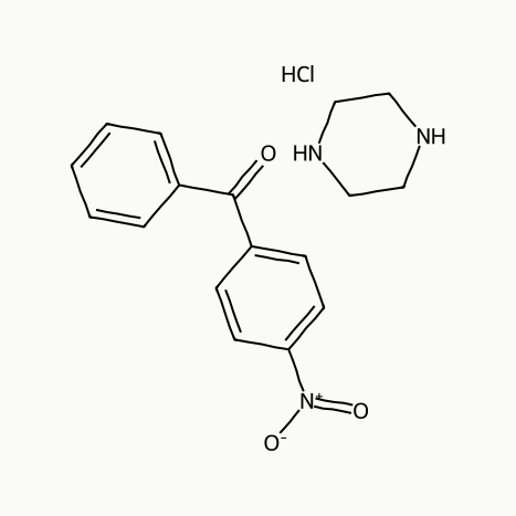 C1CNCCN1.Cl.O=C(c1ccccc1)c1ccc([N+](=O)[O-])cc1